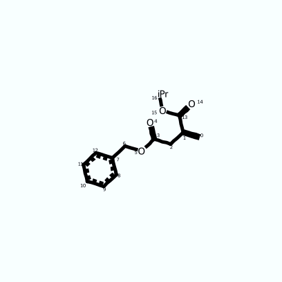 C=C(CC(=O)OCc1ccccc1)C(=O)OC(C)C